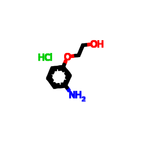 Cl.Nc1cccc(OCCO)c1